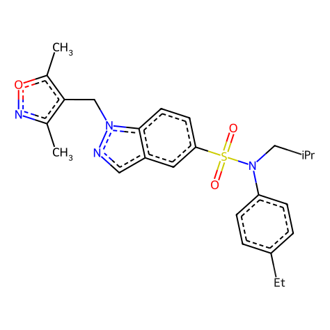 CCc1ccc(N(CC(C)C)S(=O)(=O)c2ccc3c(cnn3Cc3c(C)noc3C)c2)cc1